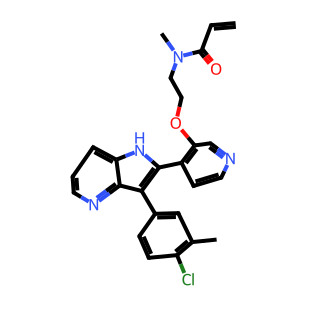 C=CC(=O)N(C)CCOc1cnccc1-c1[nH]c2cccnc2c1-c1ccc(Cl)c(C)c1